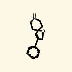 [c]1ccccc1C1=CC2(CCNCC2)OC1